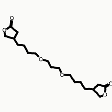 O=C1CC(CCCCOCCCOCCCCC2COC(=O)C2)CO1